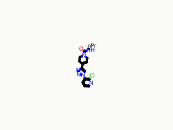 CCCNC(=O)N1CC=C(c2cn(-c3cccnc3Cl)nn2)CC1